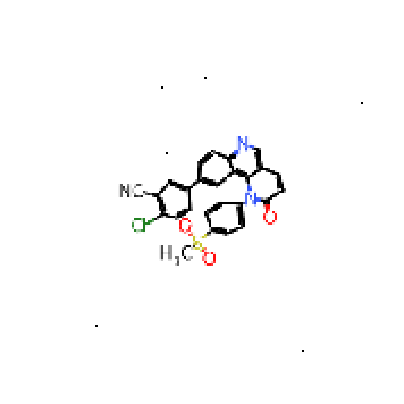 CS(=O)(=O)c1ccc(-n2c(=O)ccc3cnc4ccc(-c5ccc(Cl)c(C#N)c5)cc4c32)cc1